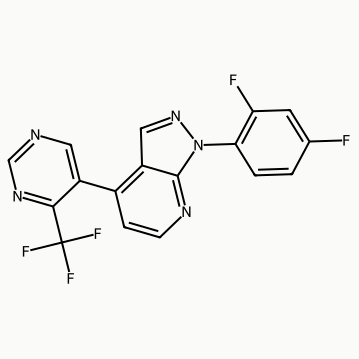 Fc1ccc(-n2ncc3c(-c4cncnc4C(F)(F)F)ccnc32)c(F)c1